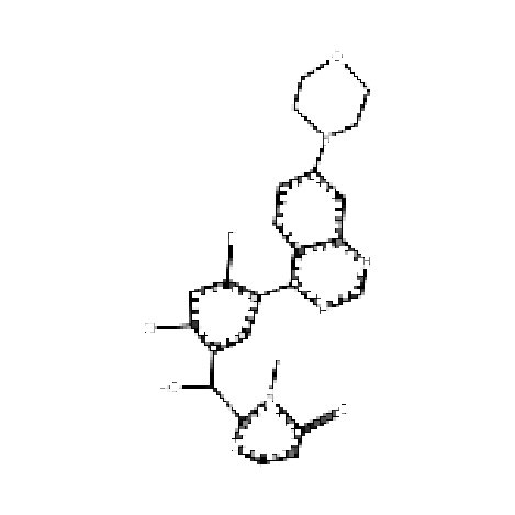 Cn1c(C(O)c2cc(-c3ncnc4cc(N5CCOCC5)ccc34)c(F)cc2Cl)nccc1=O